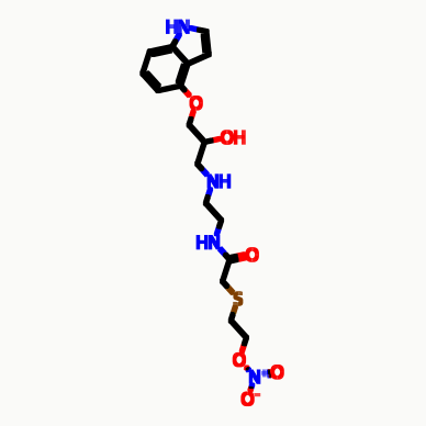 O=C(CSCCO[N+](=O)[O-])NCCNCC(O)COc1cccc2[nH]ccc12